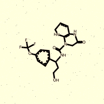 O=C1CN(C(=O)NC(CCO)c2ccc(OC(F)(F)F)cc2)C2=C(C=CCN2)N1